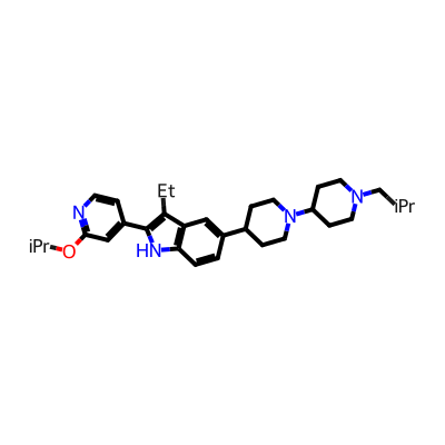 CCc1c(-c2ccnc(OC(C)C)c2)[nH]c2ccc(C3CCN(C4CCN(CC(C)C)CC4)CC3)cc12